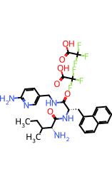 CCC(C)[C@@H](N)C(=O)N[C@@H](Cc1cccc2ccccc12)C(=O)NCc1ccc(N)nc1.O=C(O)C(F)(F)F.O=C(O)C(F)(F)F